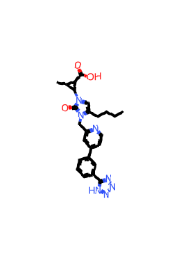 CCCCc1cn(C2C(C)C2C(=O)O)c(=O)n1Cc1cc(-c2cccc(-c3nnn[nH]3)c2)ccn1